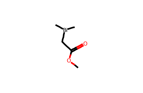 COC(=O)[CH2][Bi]([CH3])[CH3]